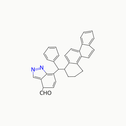 O=CC1C=CC(C(c2ccccc2)C2CCCc3c2ccc2c3ccc3ccccc32)=C2N=NC=C21